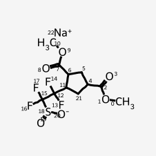 COC(=O)C1CC(C(=O)OC)C(C(F)(F)C(F)(F)S(=O)[O-])C1.[Na+]